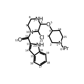 CC(C)N1CCC(OC2NCCN(C(=O)c3cc4ccccc4[nH]3)C2Cl)CC1